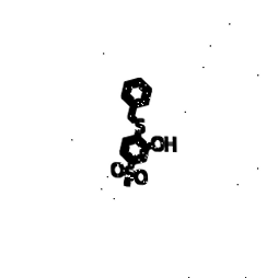 CS(=O)(=O)c1ccc(SCc2ccccc2)c(O)c1